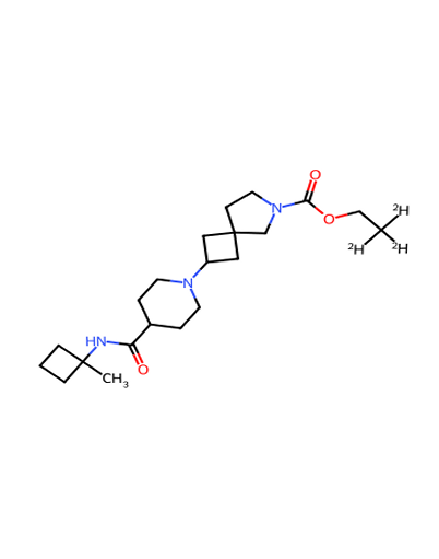 [2H]C([2H])([2H])COC(=O)N1CCC2(CC(N3CCC(C(=O)NC4(C)CCC4)CC3)C2)C1